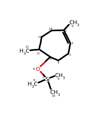 CC1=CCCC(O[Si](C)(C)C)C(C)CC1